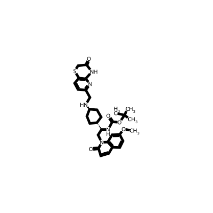 COc1ccc2ccc(=O)n(CC(NC(=O)OC(C)(C)C)[C@H]3CC[C@H](NCc4ccc5c(n4)NC(=O)CS5)CC3)c2c1